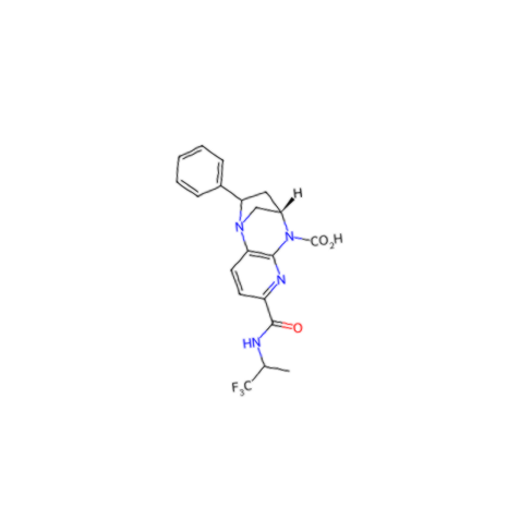 CC(NC(=O)c1ccc2c(n1)N(C(=O)O)[C@H]1CC(c3ccccc3)N2C1)C(F)(F)F